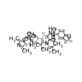 Cc1nc(C)c(CN(CCCC[C@H](NS(=O)(=O)c2ccc3occc3c2)C(=O)N(CC(C)C)CC(C)C)S(C)(=O)=O)s1